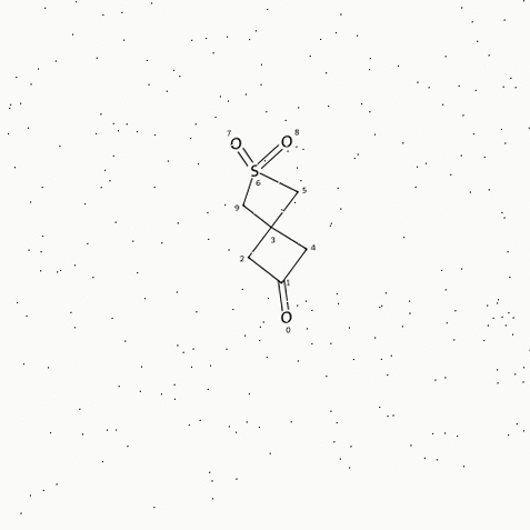 O=C1CC2(C1)CS(=O)(=O)C2